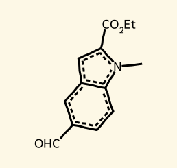 CCOC(=O)c1cc2cc(C=O)ccc2n1C